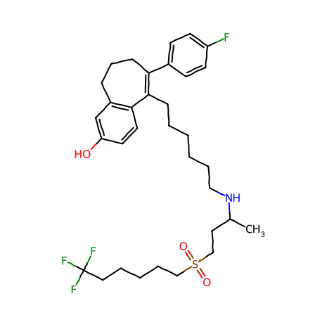 CC(CCS(=O)(=O)CCCCCC(F)(F)F)NCCCCCCC1=C(c2ccc(F)cc2)CCCc2cc(O)ccc21